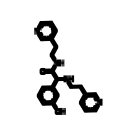 O=C(NCCc1cccnc1)C(NCCc1cccnc1)c1cccc(O)c1